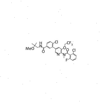 COC(C)(C)CNC(=O)c1ccc(Cl)c(-c2cnc(N(C)C(=O)c3c(F)cccc3Cl)c(OCC(F)(F)F)c2)c1